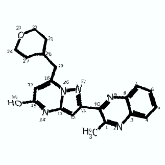 Cc1nc2ccccc2nc1-c1cc2nc(O)cc(CC3CCOCC3)n2n1